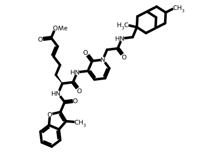 COC(=O)/C=C/CC[C@H](NC(=O)c1oc2ccccc2c1C)C(=O)Nc1cccn(CC(=O)NCC2(C)CC3CC(C)CC(C3)C2)c1=O